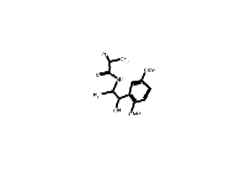 COc1ccc(OC)c(C(O)C(C)NC(=O)C(C)C(C)C)c1